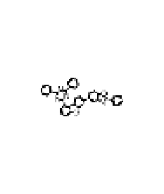 c1ccc(-c2nc(-c3ccccc3)nc(-c3cccc4oc5cc(-c6ccc7oc(-c8ccccc8)nc7c6)ccc5c34)n2)cc1